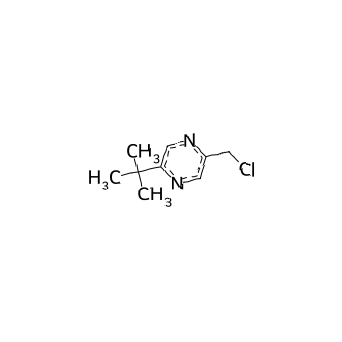 CC(C)(C)c1cnc(CCl)cn1